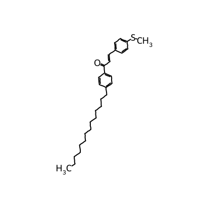 CCCCCCCCCCCCCCc1ccc(C(=O)/C=C/c2ccc(SC)cc2)cc1